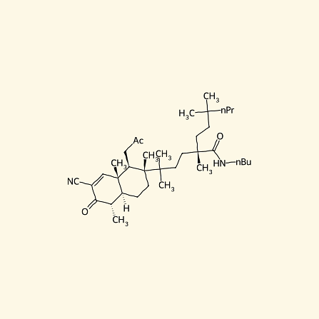 CCCCNC(=O)[C@@](C)(CCC(C)(C)CCC)CCC(C)(C)[C@]1(C)CC[C@H]2[C@H](C)C(=O)C(C#N)=C[C@]2(C)[C@H]1CC(C)=O